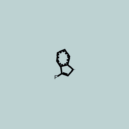 FC1=C[CH]c2ccccc21